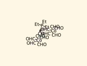 C#C[PH](CC)(CC)CC.O=[CH][Co]([CH]=O)([CH]=O)([CH]=O)[CH]=O.O=[CH][Co]([CH]=O)([CH]=O)([CH]=O)[CH]=O